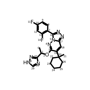 CC(Oc1nn2c(-c3ccc(F)cc3F)nnc2cc1C1(C)CCCCC1)c1nc[nH]n1